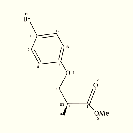 COC(=O)[C@@H](C)COc1ccc(Br)cc1